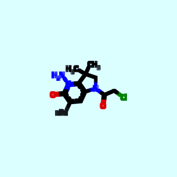 CCCCc1cc2c(n(N)c1=O)C(C)(C)CN2C(=O)CCl